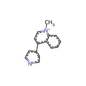 C[n+]1ccc(-c2ccncc2)c2ccccc21